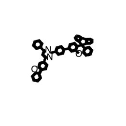 c1ccc(-c2cc(-c3ccc4c(c3)oc3ccccc34)nc(-c3ccc(-c4ccc5c(c4)Oc4ccccc4C54c5ccccc5-c5ccccc54)cc3)n2)cc1